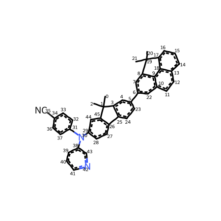 CC1(C)c2cc(-c3cc4c5c(ccc6cccc(c65)C4(C)C)c3)ccc2-c2ccc(N(c3ccc(C#N)cc3)c3cccnc3)cc21